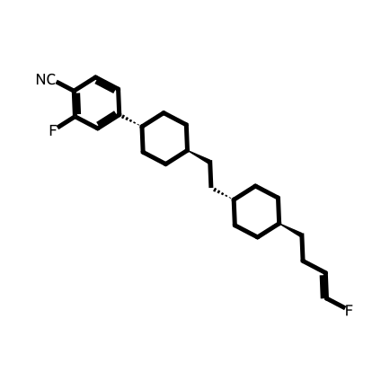 N#Cc1ccc([C@H]2CC[C@H](CC[C@H]3CC[C@H](CC/C=C/F)CC3)CC2)cc1F